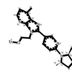 CCOCCn1c(-c2ccc(N3[C@@H](C)CC[C@@H]3C)nc2)nc2c(C)ccnc21